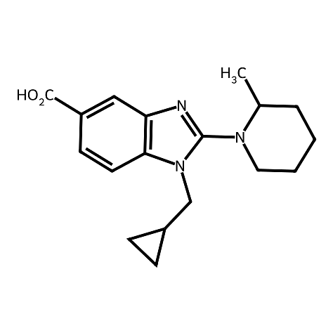 CC1CCCCN1c1nc2cc(C(=O)O)ccc2n1CC1CC1